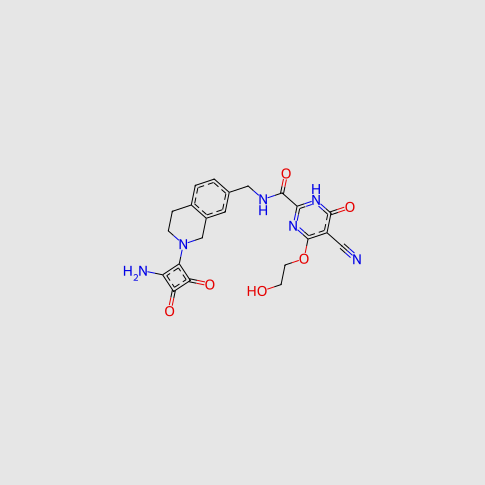 N#Cc1c(OCCO)nc(C(=O)NCc2ccc3c(c2)CN(c2c(N)c(=O)c2=O)CC3)[nH]c1=O